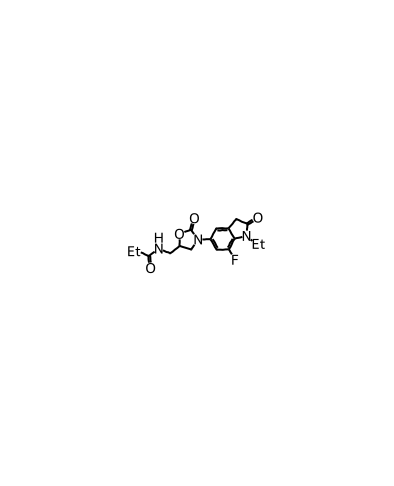 CCC(=O)NCC1CN(c2cc(F)c3c(c2)CC(=O)N3CC)C(=O)O1